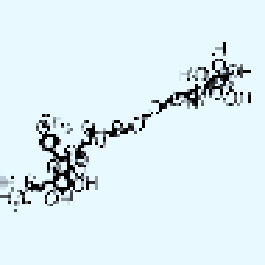 COc1ccc(-c2oc3c(CC=C(C)C)c(O)cc(O)c3c(=O)c2OC(=O)CCC(=O)OCCOCCOCCOCCOCc2cn([C@H]3O[C@@H](CO)[C@H](O)[C@@H](O)[C@@H]3O)nn2)cc1